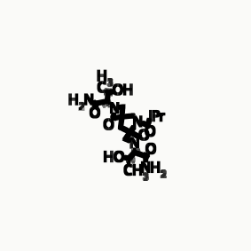 CC(C)C(=O)N1CC2(CN([C@H](C(N)=O)[C@@H](C)O)C2=O)CC12CN([C@H](C(N)=O)[C@@H](C)O)C2=O